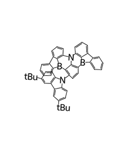 CC(C)(C)c1ccc2c(c1)c1cc(C(C)(C)C)ccc1n2-c1ccc2c3c1B1c4ccccc4-c4cccc(c41)N3c1cccc3c1B2c1ccccc1-3